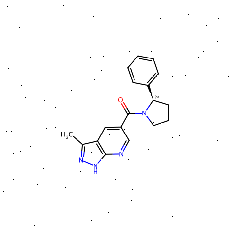 Cc1n[nH]c2ncc(C(=O)N3CCC[C@@H]3c3ccccc3)cc12